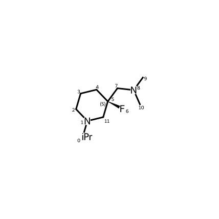 CC(C)N1CCC[C@](F)(CN(C)C)C1